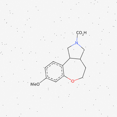 COc1ccc2c(c1)OCCC1CN(C(=O)O)CC21